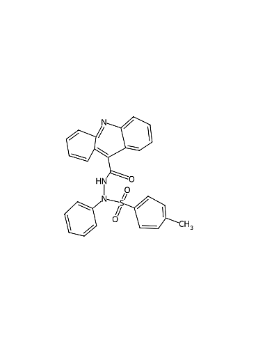 Cc1ccc(S(=O)(=O)N(NC(=O)c2c3ccccc3nc3ccccc23)c2ccccc2)cc1